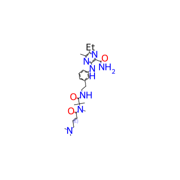 CCc1nc(C(N)=O)c(Nc2cccc(CCNC(=O)C(C)(C)N(C)C(=O)/C=C/CN(C)C)c2)nc1C